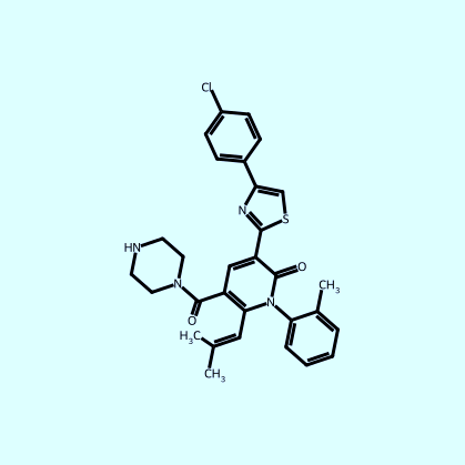 CC(C)=Cc1c(C(=O)N2CCNCC2)cc(-c2nc(-c3ccc(Cl)cc3)cs2)c(=O)n1-c1ccccc1C